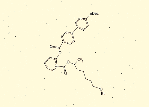 CCCCCCCCCCc1ccc(-c2ccc(C(=O)Oc3ccccc3C(=O)OC(CCCCCOCC)C(F)(F)F)cc2)cc1